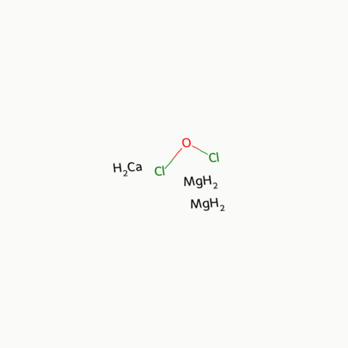 ClOCl.[CaH2].[MgH2].[MgH2]